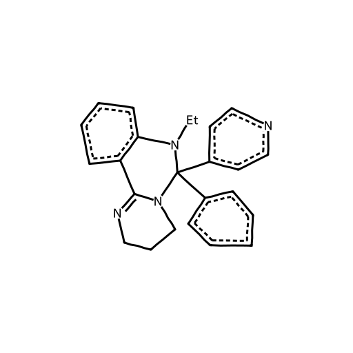 CCN1c2ccccc2C2=NCCCN2C1(c1ccccc1)c1ccncc1